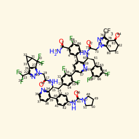 NC(=O)c1cc(-c2cc(-c3c(F)cc(C[C@H](NC(=O)Cn4nc(C(F)F)c5c4C(F)(F)C4CC54)c4ncccc4-c4ccc(NC(=O)N5CCCC5)cc4)cc3F)cnc2[C@H](Cc2cc(F)cc(F)c2)NC(=O)Cn2nc(C(F)(F)F)c3c2CCCC3=O)ccc1F